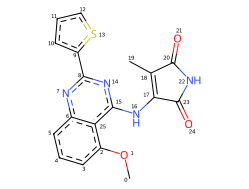 COc1cccc2nc(-c3cccs3)nc(NC3=C(C)C(=O)NC3=O)c12